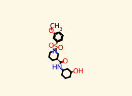 COc1cccc(S(=O)(=O)N2CCC[C@H](C(=O)NC3CCCC(O)C3)C2)c1